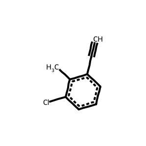 C#Cc1cccc(Cl)c1C